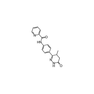 CC1CC(=O)NN=C1c1ccc(NC(=O)c2ccccn2)cc1